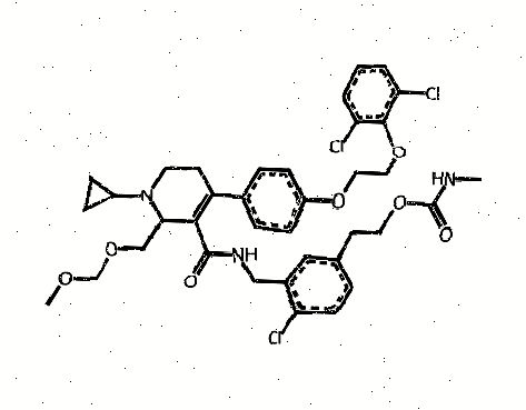 CNC(=O)OCCc1ccc(Cl)c(CNC(=O)C2=C(c3ccc(OCCOc4c(Cl)cccc4Cl)cc3)CCN(C3CC3)C2COCOC)c1